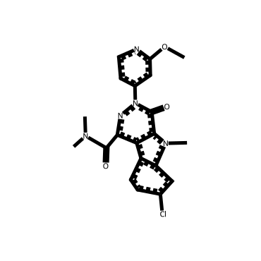 COc1cc(-n2nc(C(=O)N(C)C)c3c4ccc(Cl)cc4n(C)c3c2=O)ccn1